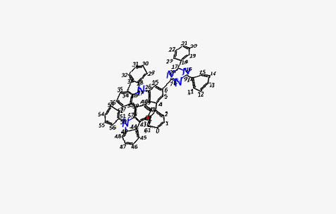 c1ccc(-c2cc(-c3nc(-c4ccccc4)nc(-c4ccccc4)n3)cc(-n3c4ccccc4c4cccc(-c5cccc6c7ccccc7n(-c7ccccc7)c56)c43)c2)cc1